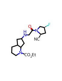 CCOC(=O)N1CCCC2CC(NCC(=O)N3C[C@@H](F)C[C@H]3C#N)CC21